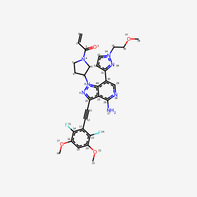 C=CC(=O)N1CCC(n2nc(C#Cc3c(F)c(OC)cc(OC)c3F)c3c(N)ncc(-c4ccn(CCOC)n4)c32)C1